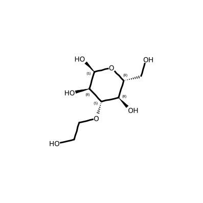 OCCO[C@@H]1[C@@H](O)[C@@H](O)O[C@H](CO)[C@H]1O